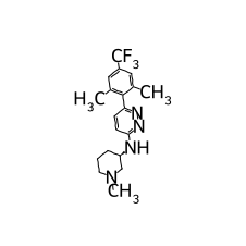 Cc1cc(C(F)(F)F)cc(C)c1-c1ccc(N[C@@H]2CCCN(C)C2)nn1